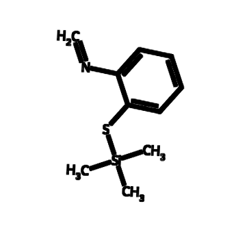 C=Nc1ccccc1S[Si](C)(C)C